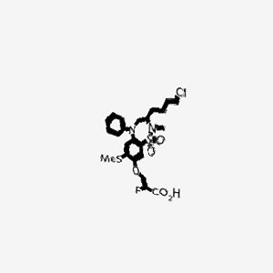 CSc1cc2c(cc1O/C=C(\F)C(=O)O)S(=O)(=O)N(C)C(CCCCCl)CN2c1ccccc1